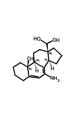 C[C@]12CCCCC1=CC(N)=C1[C@@H]3CCC[C@@]3(C(O)O)CC[C@@H]12